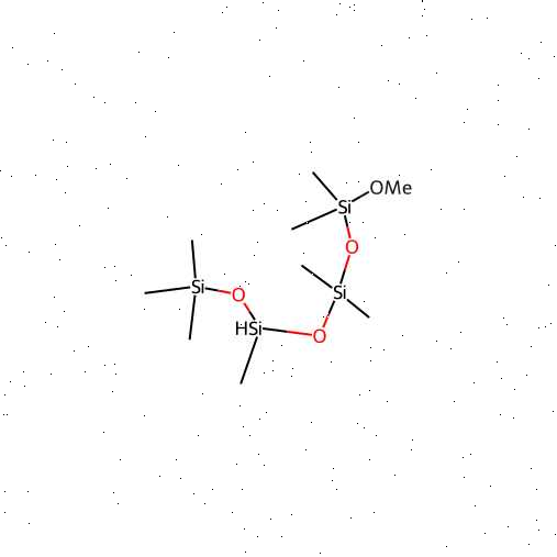 CO[Si](C)(C)O[Si](C)(C)O[SiH](C)O[Si](C)(C)C